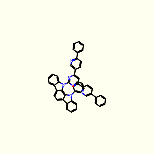 c1ccc(-c2ccc(-c3cc(-c4ccc(-c5ccccc5)nc4)nc(-n4c5ccccc5c5ccc6c7ccccc7n(-c7ccccc7)c6c54)n3)nc2)cc1